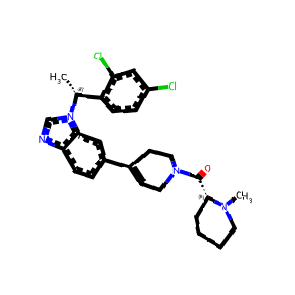 C[C@H](c1ccc(Cl)cc1Cl)n1cnc2ccc(C3=CCN(C(=O)[C@H]4CCCCN4C)CC3)cc21